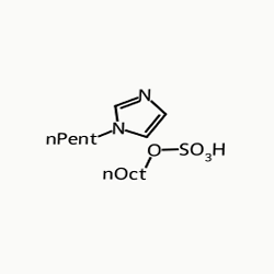 CCCCCCCCOS(=O)(=O)O.CCCCCn1ccnc1